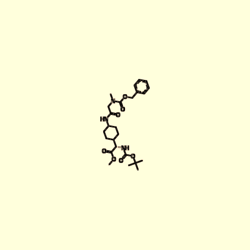 COC(=O)[C@@H](NC(=O)OC(C)(C)C)C1CCC(NC(=O)CN(C)C(=O)OCc2ccccc2)CC1